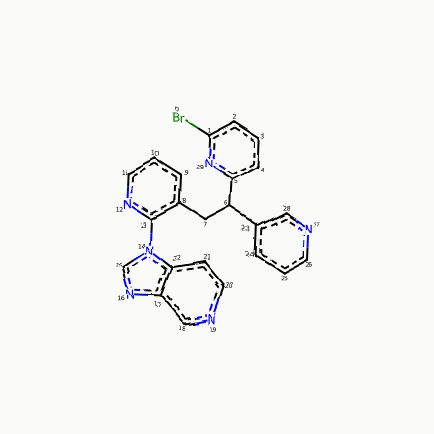 Brc1cccc(C(Cc2cccnc2-n2cnc3cnccc32)c2cccnc2)n1